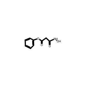 O=C(CC(=O)Oc1ccccc1)NO